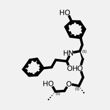 C[C@H](O)CO[C@@H](C)COC[C@H](Cc1ccc(O)cc1)NC(O)CCc1ccccc1